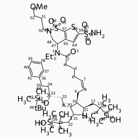 CCN(C(=O)CCC/C=C\C[C@H]1[C@@H](CC(C)(C)[Si](C)(C)O)CC(CC(C)(C)[Si](C)(C)O)[C@@H]1CC[C@@H](CCc1ccccc1)O[Si](C)(C)C(C)(C)C)C1CN(CCCOC)S(=O)(=O)c2sc(S(N)(=O)=O)cc21